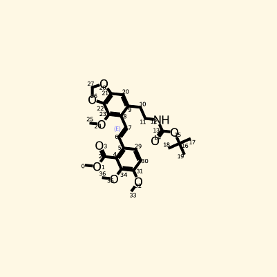 COC(=O)c1c(/C=C/c2c(CCNC(=O)OC(C)(C)C)cc3c(c2OC)OCO3)ccc(OC)c1OC